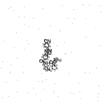 CC(C)(C)OC(=O)N1CCC[C@H](CN2CCC(CNC(=O)C3CCN(c4nc(-c5ccc(C#N)cc5)no4)CC3)C2)C1